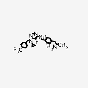 C=C(N)Cc1ccc(CNc2ncnc(N(Cc3ccc(C(F)(F)F)cc3)C3CC3)c2F)cc1